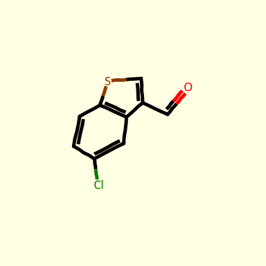 O=Cc1csc2ccc(Cl)cc12